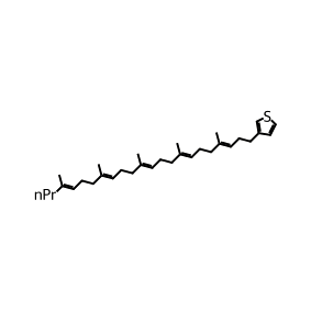 CCC/C(C)=C/CC/C(C)=C/CC/C(C)=C/CC/C(C)=C/CC/C(C)=C/CCc1ccsc1